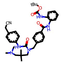 CN(C)CC(C)(C)CN(Cc1ccc(C(=O)Nc2ccccc2NC(=O)OC(C)(C)C)cc1)C(=O)Nc1ccc(CC#N)cc1